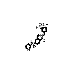 O=C(O)Nc1cccc(Cn2ncc3cc(S(=O)(=O)c4cccnc4)ccc3c2=O)c1